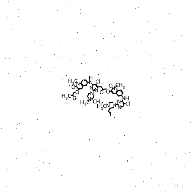 CC(=O)COc1cc2cc(Nc3nc(N4CCN(C)C(C)C4)nc(CC(=O)COc4cc5cc(Nc6nc(N7CCN(C)C(CI)C7)ncc6Cl)ccc5n(C)c4=O)c3Cl)ccc2n(C)c1=O